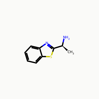 C[C@H](N)c1nc2ccccc2s1